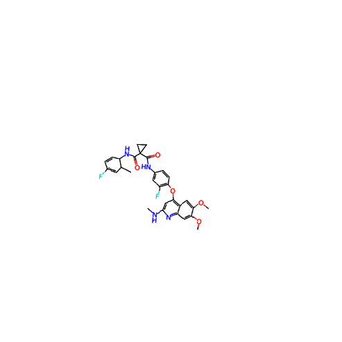 CNc1cc(Oc2ccc(NC(=O)C3(C(=O)NC4C=CC(F)=CC4C)CC3)cc2F)c2cc(OC)c(OC)cc2n1